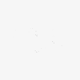 O=C([O-])CN(C=S(=O)=O)c1ccc(OC(Cc2ccccc2)c2cocn2)cc1.[Na+]